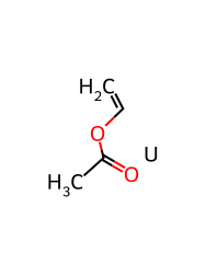 C=COC(C)=O.[U]